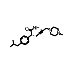 CC(C)Cc1ccc([C@@H](CC#CCN2CCN(C)CC2)C(N)=O)cc1